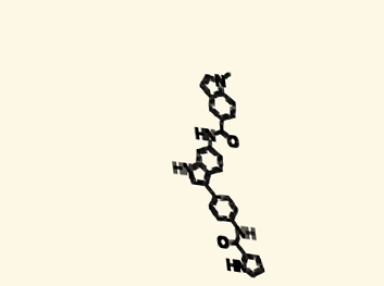 Cn1ccc2cc(C(=O)Nc3ccc4c(-c5ccc(NC(=O)c6ccc[nH]6)cc5)c[nH]c4c3)ccc21